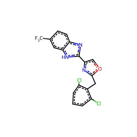 FC(F)(F)c1ccc2nc(-c3coc(Cc4c(Cl)cccc4Cl)n3)[nH]c2c1